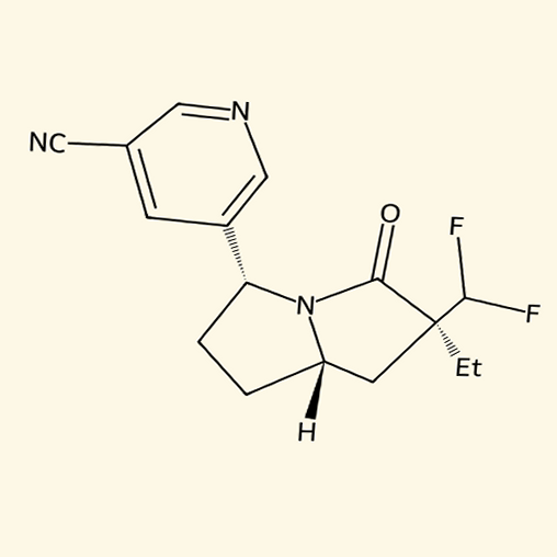 CC[C@]1(C(F)F)C[C@@H]2CC[C@H](c3cncc(C#N)c3)N2C1=O